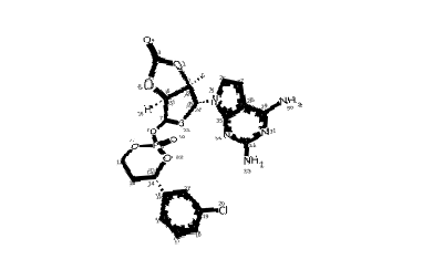 C[C@@]12OC(=O)O[C@@H]1C(OP1(=O)OCC[C@@H](c3cccc(Cl)c3)O1)O[C@H]2n1ccc2c(N)nc(N)nc21